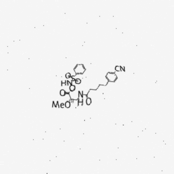 CO[C@@H](CNC(=O)CCCCc1ccc(C#N)cc1)C(=O)ONS(=O)(=O)c1ccccc1